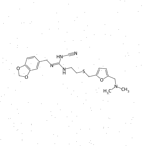 CN(C)Cc1ccc(CSCCN/C(=N/Cc2ccc3c(c2)OCO3)NC#N)o1